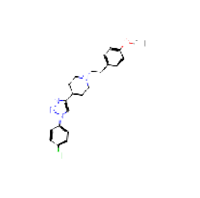 COc1ccc(CCN2CCC(c3cn(-c4ccc(Cl)cc4)nn3)CC2)cc1